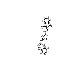 O=C1c2ccccc2C(=O)N1CCCCNCC1COc2ccccc2O1